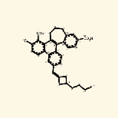 COc1c(F)ccc(C)c1C1=C(c2ccc(C=C3CC(CCCF)C3)cc2)c2ccc(C(=O)O)cc2CCC1